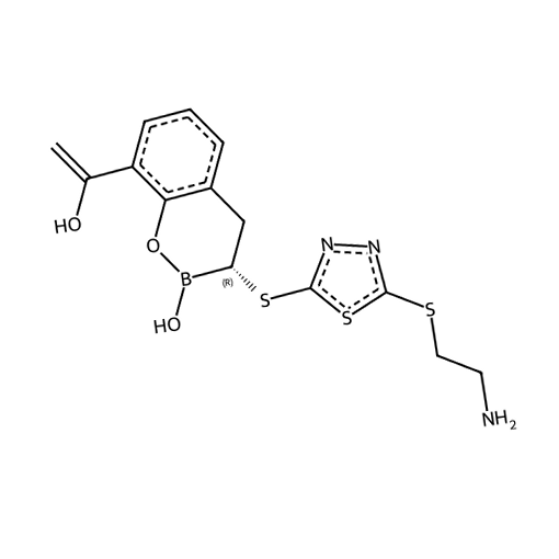 C=C(O)c1cccc2c1OB(O)[C@@H](Sc1nnc(SCCN)s1)C2